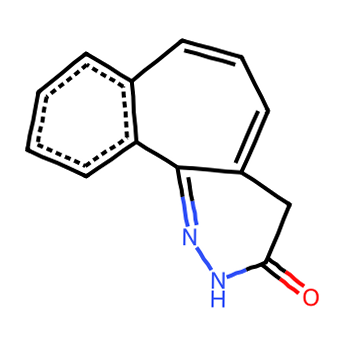 O=C1CC2=CC=Cc3ccccc3C2=NN1